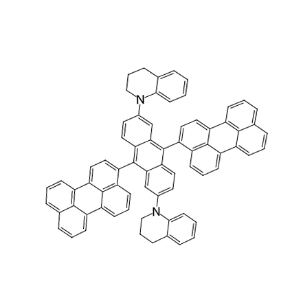 c1ccc2c(c1)CCCN2c1ccc2c(-c3ccc4c5cccc6cccc(c7cccc3c74)c65)c3cc(N4CCCc5ccccc54)ccc3c(-c3ccc4c5cccc6cccc(c7cccc3c74)c65)c2c1